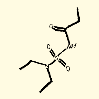 CCC(=O)NS(=O)(=O)N(CC)CC